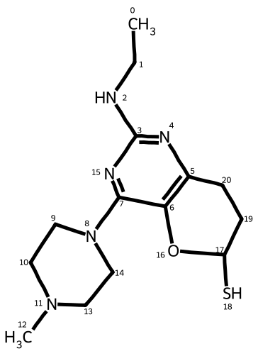 CCNc1nc2c(c(N3CCN(C)CC3)n1)OC(S)CC2